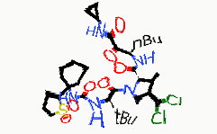 CCCC[C@H](NC(=O)[C@@H]1C(C)C(C(Cl)Cl)CN1C(=O)[C@@H](NC(=O)NC1(C2CCCS2(=O)=O)CCCCC1)C(C)(C)C)C(=O)C(=O)NC1CC1